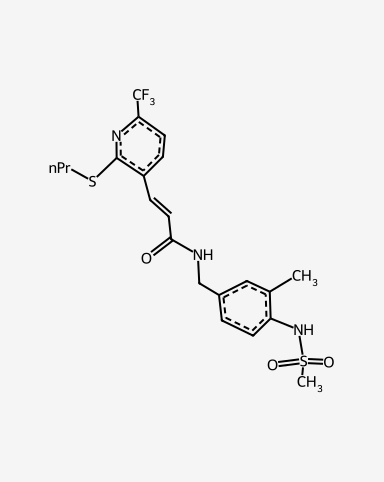 CCCSc1nc(C(F)(F)F)ccc1C=CC(=O)NCc1ccc(NS(C)(=O)=O)c(C)c1